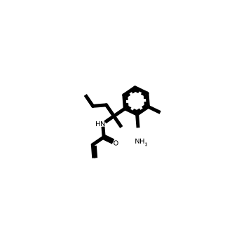 C=CC(=O)NC(C)(CCC)c1cccc(C)c1C.N